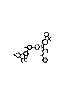 C#C/C=C1C(=C/C)\c2cc(-c3cc(C4=CC=C(N(C5=CC=C6C(=CC5)C(C)(C)C5=CCCCC65)/C(=C/C=C(\C)c5ccccc5)CI)CC4)ccc3C)cc3c2C(CC)(C3)C\1=C/C